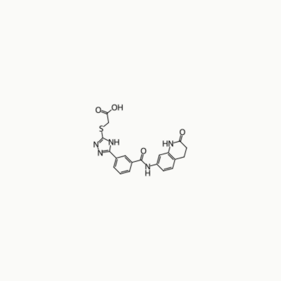 O=C(O)CSc1nnc(-c2cccc(C(=O)Nc3ccc4c(c3)NC(=O)CC4)c2)[nH]1